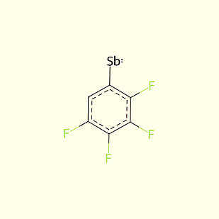 Fc1c[c]([Sb])c(F)c(F)c1F